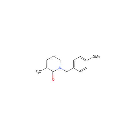 COc1ccc(CN2CCC=C(C(F)(F)F)C2=O)cc1